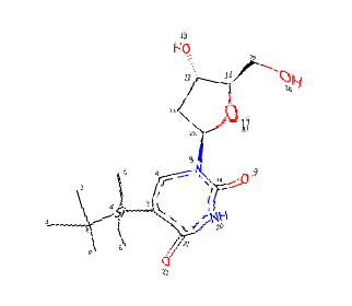 CC(C)(C)[Si](C)(C)c1cn([C@H]2C[C@H](O)[C@@H](CO)O2)c(=O)[nH]c1=O